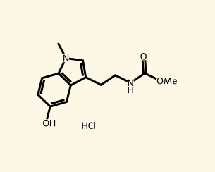 COC(=O)NCCc1cn(C)c2ccc(O)cc12.Cl